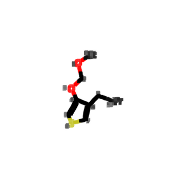 CCOCOc1cscc1CC(C)C